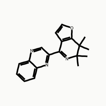 CC1(C)N=C(c2cnc3ccccc3n2)c2ccoc2C1(C)C